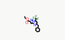 CCOC(=O)c1cc2nc(CC3CCCCC3)cc(C(F)(F)F)n2n1